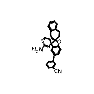 N#Cc1cccc(-c2ccc3c(c2)C2(CCSC(N)=N2)C2(CCc4ccccc4CC2)O3)c1